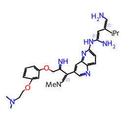 CN/C=C(\C(=N)COc1cccc(OCCN(C)C)c1)c1cnc2ccc(N/C(N)=C/C(=C\N)C(C)C)nc2c1